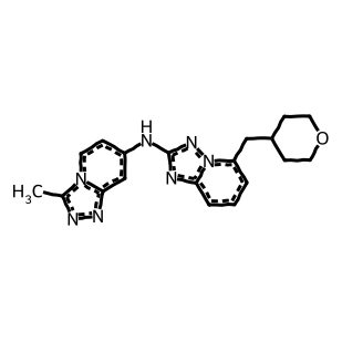 Cc1nnc2cc(Nc3nc4cccc(CC5CCOCC5)n4n3)ccn12